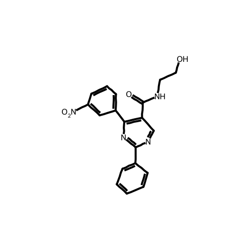 O=C(NCCO)c1cnc(-c2ccccc2)nc1-c1cccc([N+](=O)[O-])c1